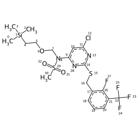 C[Si](C)(C)CCOCN(c1cc(Cl)nc(SCc2cccc(C(F)(F)F)c2F)n1)S(C)(=O)=O